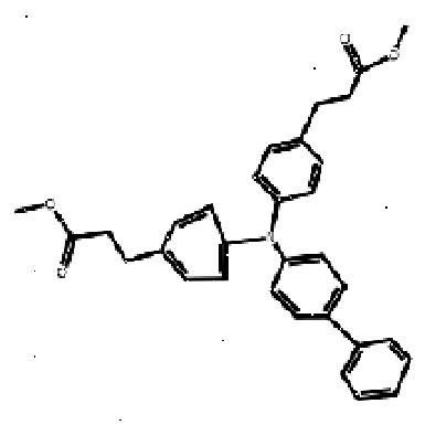 COC(=O)CCc1ccc(N(c2ccc(CCC(=O)OC)cc2)c2ccc(-c3ccccc3)cc2)cc1